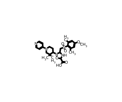 COc1cc(C)c(S(=O)(=O)CC2NC(C(=O)O)ON2C2CCN(c3ccncc3)CC2(C)C)c(C)c1